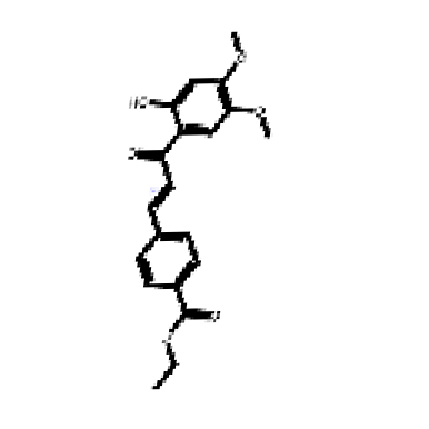 CCOC(=O)c1ccc(/C=C/C(=O)c2cc(OC)c(OC)cc2O)cc1